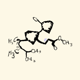 COC(=O)/C=C/c1cc([C@H](C)[C@@H](C)C(C)C)ccc1-c1ccccc1Cl